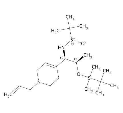 C=CCN1CC=C([C@@H](N[S@@+]([O-])C(C)(C)C)[C@@H](C)O[Si](C)(C)C(C)(C)C)CC1